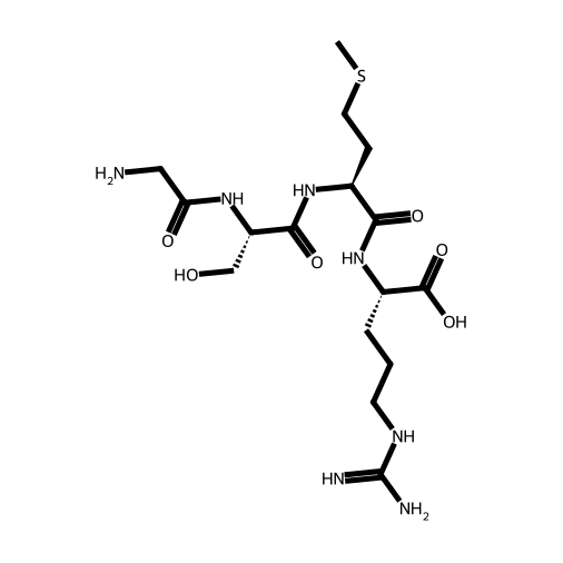 CSCC[C@H](NC(=O)[C@H](CO)NC(=O)CN)C(=O)N[C@@H](CCCNC(=N)N)C(=O)O